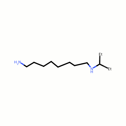 CCC(CC)NCCCCCCCCN